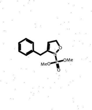 COP(=O)(OC)N1OCC=C1Cc1ccccc1